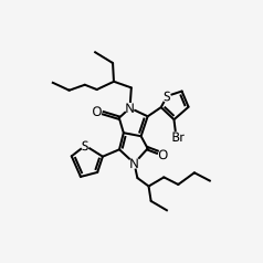 CCCCC(CC)CN1C(=O)C2=C(c3sccc3Br)N(CC(CC)CCCC)C(=O)C2=C1c1cccs1